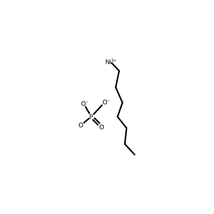 CCCCCC[CH2][Ni+3].O=P([O-])([O-])[O-]